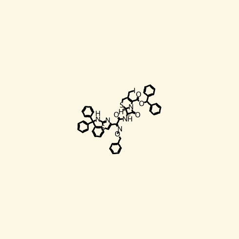 O=C(N[C@@H]1C(=O)N2C(C(=O)OC(c3ccccc3)c3ccccc3)=C(CI)CS[C@@H]12)C(=NOCc1ccccc1)c1csc(NC(c2ccccc2)(c2ccccc2)c2ccccc2)n1